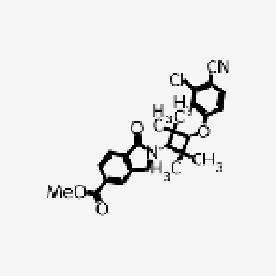 COC(=O)c1ccc2c(c1)CN([C@H]1C(C)(C)[C@H](Oc3ccc(C#N)c(Cl)c3)C1(C)C)C2=O